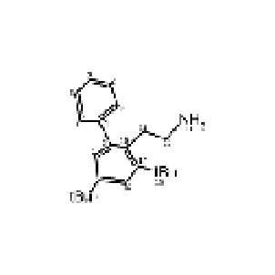 CC(C)(C)c1cc(-c2ccccc2)c(CCN)c(C(C)(C)C)c1